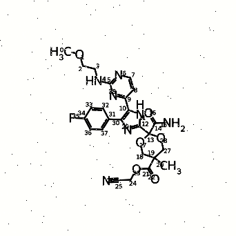 COCCNc1nccc(-c2[nH]c(C3(C(N)=O)OCC(C)(C(=O)OCC#N)CO3)nc2-c2ccc(F)cc2)n1